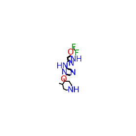 CC1CCNCCC1Oc1cncc(Nc2cc(OC(F)F)[nH]n2)n1